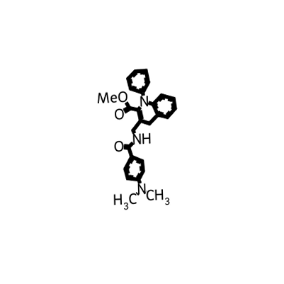 COC(=O)C1=C(CNC(=O)c2ccc(N(C)C)cc2)Cc2ccccc2N1c1ccccc1